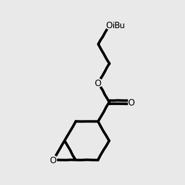 CC(C)COCCOC(=O)C1CCC2OC2C1